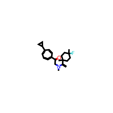 C=C(N(C)CC(=O)C1=C=CC=C(C2CC2)C=C1)C1(C)CCC(C)(F)CC1